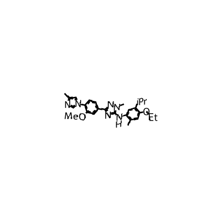 CCOc1cc(C)c(Nc2nc(-c3ccc(-n4cnc(C)c4)c(OC)c3)nn2C)cc1C(C)C